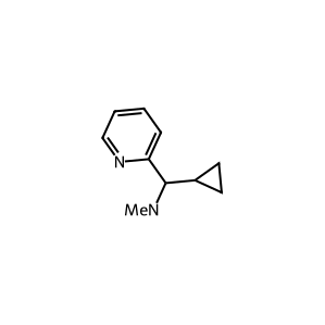 CNC(c1ccccn1)C1CC1